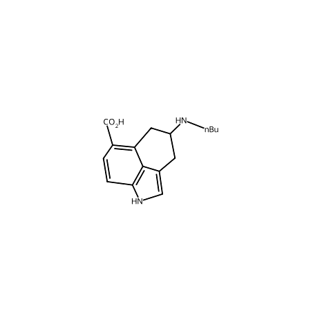 CCCCNC1Cc2c[nH]c3ccc(C(=O)O)c(c23)C1